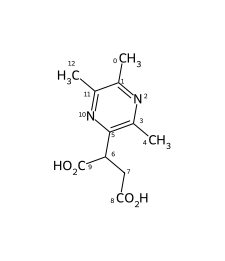 Cc1nc(C)c(C(CC(=O)O)C(=O)O)nc1C